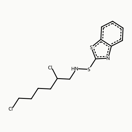 ClCCCCC(Cl)CNSc1nc2ccccc2s1